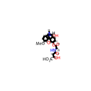 COc1ccc2c3c1OC1C(OC(=O)[C@H](C)NC(=O)C[C@H](O)C(=O)O)=CC[C@@]4(O)[C@@H](C2)N(C)CCC314